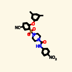 Cc1cc(C)cc(Oc2ccc(C#N)cc2S(=O)(=O)N2CCN(C(=O)Nc3ccc([N+](=O)[O-])cc3)CC2)c1